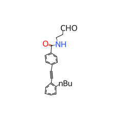 CCCCc1ccccc1C#Cc1ccc(C(=O)NCCC=O)cc1